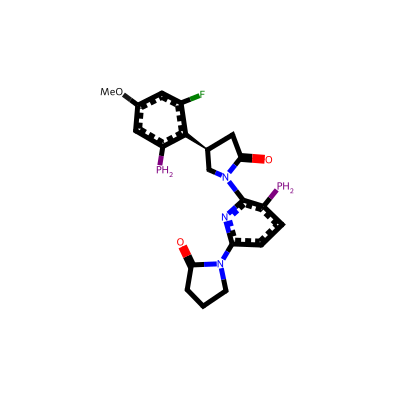 COc1cc(F)c([C@H]2CC(=O)N(c3nc(N4CCCC4=O)ccc3P)C2)c(P)c1